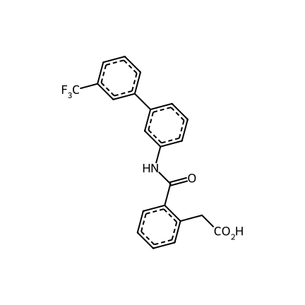 O=C(O)Cc1ccccc1C(=O)Nc1cccc(-c2cccc(C(F)(F)F)c2)c1